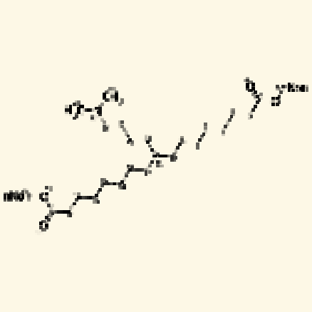 CCCCCCCCCOC(=O)CCCCCCCP(CCCCCCCC(=O)OCCCCCCCCC)CCCCN(C)C